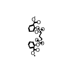 COC(=O)c1ccccc1OS(=O)(=O)CCCS(=O)(=O)Oc1ccccc1C(=O)OC